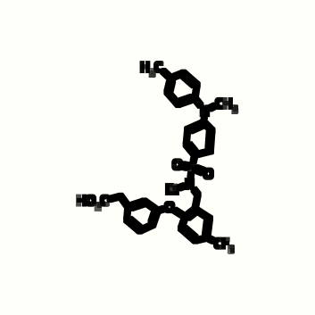 CCN(Cc1cc(C(F)(F)F)ccc1Oc1cccc(CC(=O)O)c1)S(=O)(=O)c1ccc(N(C)c2ccc(C)cc2)cc1